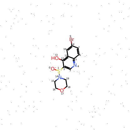 [O-][S+](c1cnc2ccc(Br)cc2c1O)N1CCOCC1